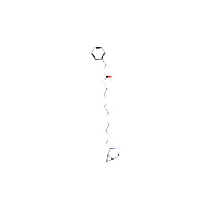 O=C(NCCOCCOCCNC[C@H]1NC[C@@H]2CC21)OCc1ccccc1